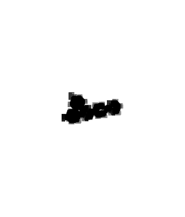 Fc1ccc(-c2ncc(C3CCN(c4ncccn4)CC3)nc2-c2ccc(F)cc2)cc1